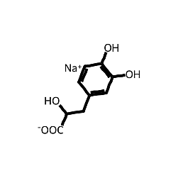 O=C([O-])C(O)Cc1ccc(O)c(O)c1.[Na+]